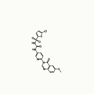 CSc1ccc2ncn(-c3ccc(NC(=O)NS(=O)(=O)c4ccc(Cl)s4)cn3)c(=O)c2c1